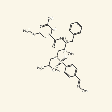 CSCC[C@H](NC(=O)O)C(=O)N[C@@H](Cc1ccccc1)[C@H](O)CN(CC(C)C)S(=O)(=O)c1ccc(C=NO)cc1